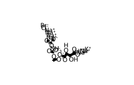 CC(=O)[O-].Cl.N.O=C([O-])C(O)C(O)C(=O)[O-].O=C[O-].O=[N+]([O-])[O-].[Br-].[Cl-].[K+].[Na+].[Na+].[Na+].[Na+].[Na+].[Na+]